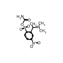 CC(c1cc([N+](=O)[O-])ccc1S(=O)(=O)OC(N)=O)N(C)C